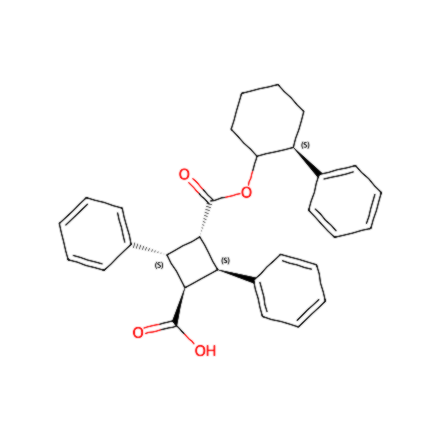 O=C(O)[C@H]1[C@H](c2ccccc2)[C@H](C(=O)OC2CCCC[C@H]2c2ccccc2)[C@H]1c1ccccc1